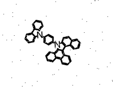 c1ccc2c(c1)ccc1c2c2c3ccccc3c3ccccc3c2n1-c1ccc(-n2c3ccccc3c3ccccc32)cc1